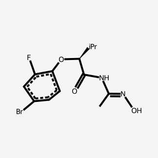 C/C(=N\O)NC(=O)[C@@H](Oc1ccc(Br)cc1F)C(C)C